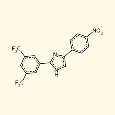 O=[N+]([O-])c1ccc(-c2c[nH]c(-c3cc(C(F)(F)F)cc(C(F)(F)F)c3)n2)cc1